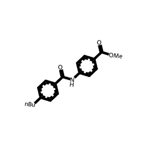 CCCCc1ccc(C(=O)Nc2ccc(C(=O)OC)cc2)cc1